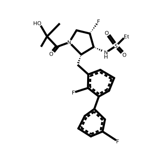 CCS(=O)(=O)N[C@H]1[C@@H](F)CN(C(=O)C(C)(C)O)[C@H]1Cc1cccc(-c2cccc(F)c2)c1F